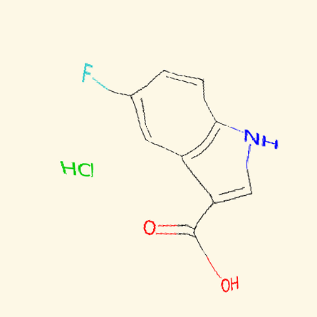 Cl.O=C(O)c1c[nH]c2ccc(F)cc12